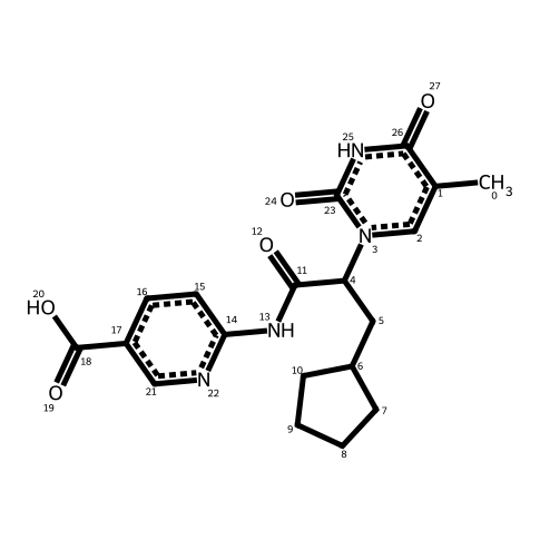 Cc1cn(C(CC2CCCC2)C(=O)Nc2ccc(C(=O)O)cn2)c(=O)[nH]c1=O